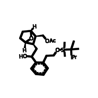 CC(=O)OC[C@H]1[C@@H](CC(O)c2ccccc2CCO[Si](C)(C)C(C)(C)C(C)C)[C@@H]2CC[C@H]1O2